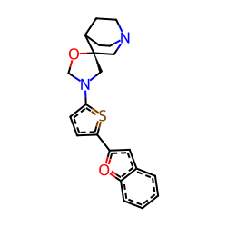 c1ccc2oc(-c3ccc(N4CO[C@]5(CN6CCC5CC6)C4)s3)cc2c1